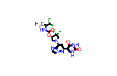 CC(NC(=O)OC1CN(c2cc(-c3c[nH]c(=O)[nH]c3=O)nn3ccnc23)CC1(F)F)C(F)F